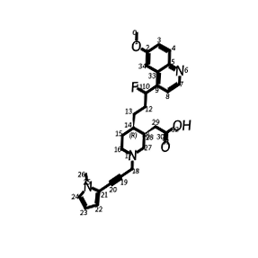 COc1ccc2nccc(C(F)CC[C@@H]3CCN(CC#Cc4cccn4C)C[C@@H]3CC(=O)O)c2c1